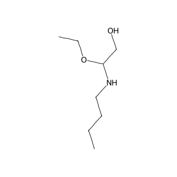 CCCCNC(CO)OCC